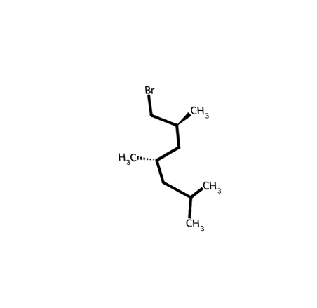 CC(C)C[C@H](C)C[C@H](C)CBr